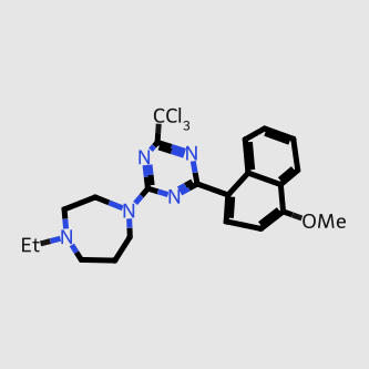 CCN1CCCN(c2nc(-c3ccc(OC)c4ccccc34)nc(C(Cl)(Cl)Cl)n2)CC1